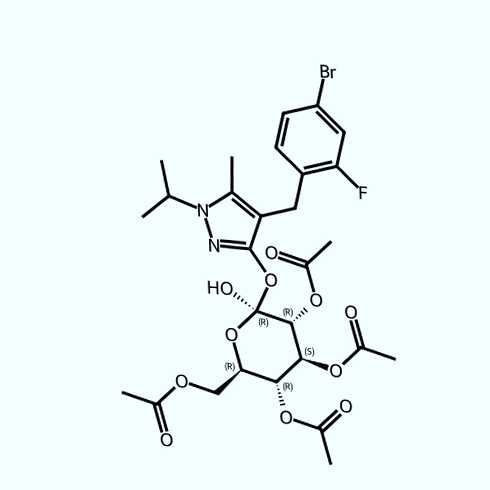 CC(=O)OC[C@H]1O[C@@](O)(Oc2nn(C(C)C)c(C)c2Cc2ccc(Br)cc2F)[C@H](OC(C)=O)[C@@H](OC(C)=O)[C@@H]1OC(C)=O